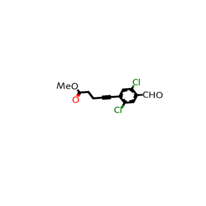 COC(=O)CCC#Cc1cc(Cl)c(C=O)cc1Cl